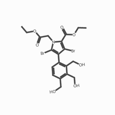 CCOC(=O)Cn1c(Br)c(-c2ccc(CO)c(CO)c2CO)c(Br)c1C(=O)OCC